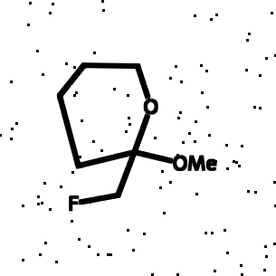 COC1(CF)CCCCO1